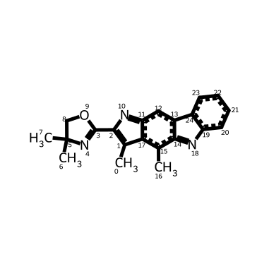 CC1=C(C2=NC(C)(C)CO2)N=c2cc3c(c(C)c21)=Nc1ccccc1-3